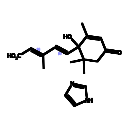 CC1=CC(=O)CC(C)(C)C1(O)/C=C/C(C)=C/C(=O)O.c1c[nH]cn1